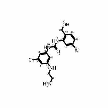 NCCNc1cc(Cl)cc(NC(=O)Nc2cc(Br)ccc2CO)c1